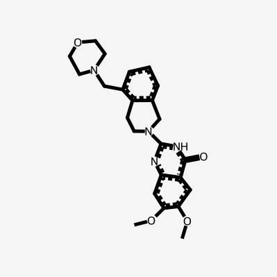 COc1cc2nc(N3CCc4c(CN5CCOCC5)cccc4C3)[nH]c(=O)c2cc1OC